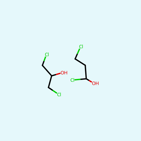 OC(CCl)CCl.OC(Cl)CCCl